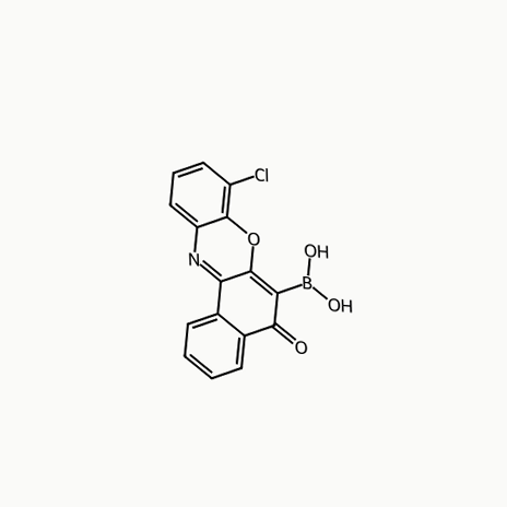 O=c1c(B(O)O)c2oc3c(Cl)cccc3nc-2c2ccccc12